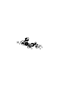 CCN(CC)C(=O)C1CCN(S(=O)(=O)N(C)c2ccc3c(c2)nc(C(C)(C)C)n3CC2CCOCC2)CC1